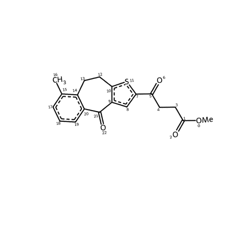 COC(=O)CCC(=O)c1cc2c(s1)CCc1c(C)cccc1C2=O